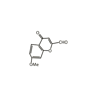 COc1ccc2c(=O)cc(C=O)oc2c1